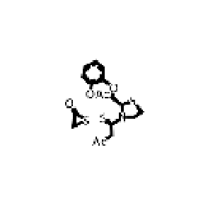 CC(=O)CC(=S)N1CCSC1COc1ccccc1OC(C)=O.O=C1CS1